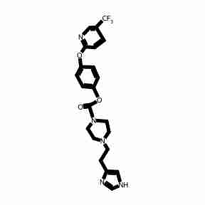 O=C(Oc1ccc(Oc2ccc(C(F)(F)F)cn2)cc1)N1CCN(CCc2c[nH]cn2)CC1